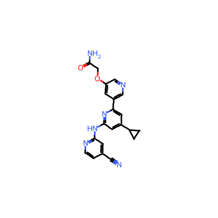 N#Cc1ccnc(Nc2cc(C3CC3)cc(-c3cncc(OCC(N)=O)c3)n2)c1